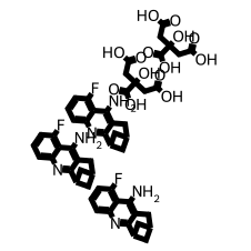 Nc1c2c(nc3cccc(F)c13)C1CC(C2)C1.Nc1c2c(nc3cccc(F)c13)C1CC(C2)C1.Nc1c2c(nc3cccc(F)c13)C1CC(C2)C1.O=C(O)CC(O)(CC(=O)O)C(=O)O.O=C(O)CC(O)(CC(=O)O)C(=O)O